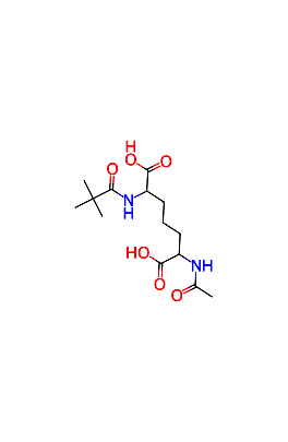 CC(=O)NC(CCCC(NC(=O)C(C)(C)C)C(=O)O)C(=O)O